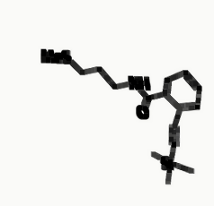 CSCCCNC(=O)c1ccccc1C#C[Si](C)(C)C